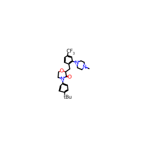 CN1CCN(c2cc(C(F)(F)F)ccc2CC2OCCN(c3ccc(C(C)(C)C)cc3)C2=O)CC1